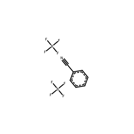 F[B-](F)(F)F.F[B-](F)(F)F.N#Cc1ccccc1